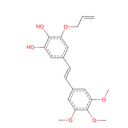 C=CCOc1cc(C=Cc2cc(OC)c(OC)c(OC)c2)cc(O)c1O